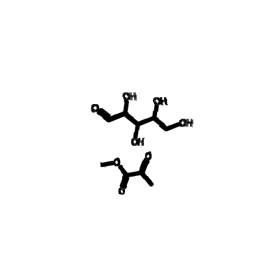 COC(=O)C(C)=O.O=CC(O)C(O)C(O)CO